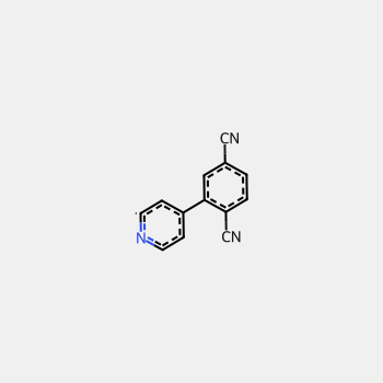 N#Cc1ccc(C#N)c(-c2c[c]ncc2)c1